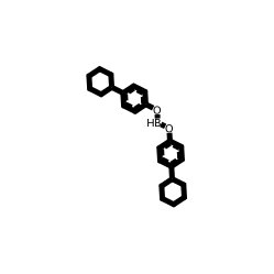 B(Oc1ccc(C2CCCCC2)cc1)Oc1ccc(C2CCCCC2)cc1